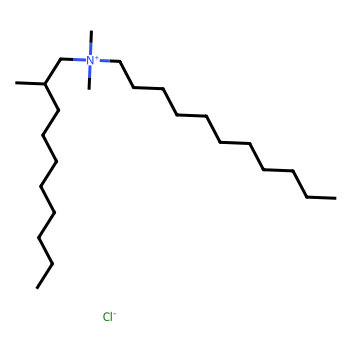 CCCCCCCCCCC[N+](C)(C)CC(C)CCCCCCCC.[Cl-]